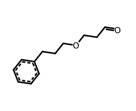 O=CCCOCCCc1ccccc1